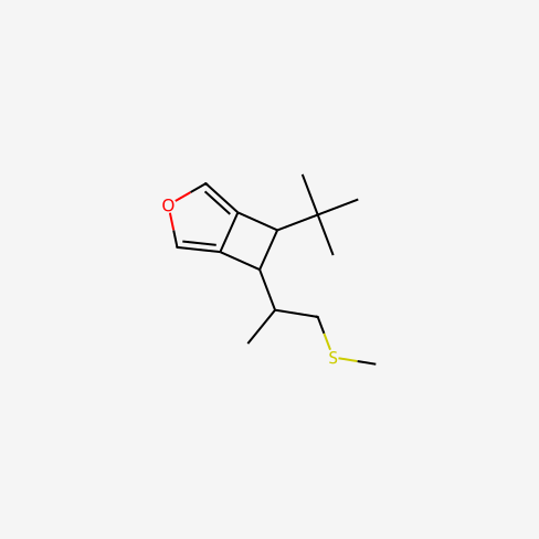 CSCC(C)C1c2cocc2C1C(C)(C)C